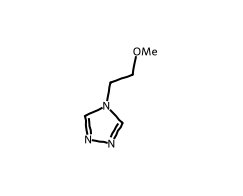 COCCn1cnnc1